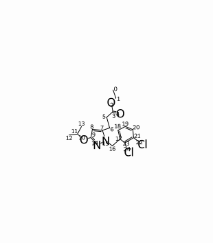 CCOC(=O)CCc1cc(OC(C)C)nn1Cc1cccc(Cl)c1Cl